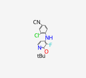 [C-]#[N+]c1ccc(Nc2ccnc(OC(C)(C)C)c2F)c(Cl)c1